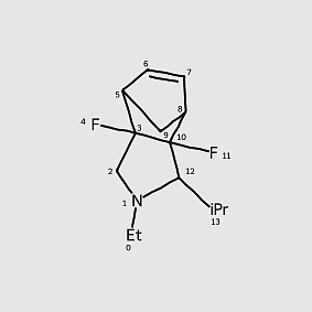 CCN1CC2(F)C3C=CC(C3)C2(F)C1C(C)C